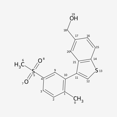 Cc1ccc(S(C)(=O)=O)cc1-c1csc2ccc(CO)cc12